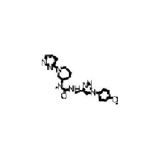 COc1ccc(-n2cc(CNC(=O)N(C)C3CCCN(c4cccnn4)C3)nn2)cc1